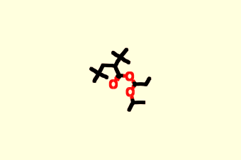 CCC(OC(=O)C(CC(C)(C)C)C(C)(C)C)OC(C)C